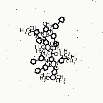 Cc1cc2c3c(c1)N(c1ccc(C(C)(C)C)cc1-c1ccccc1)c1sc4cc5c(cc4c1B3c1cc(-c3ccccc3)ccc1N2c1ccc(-c2ccccc2)cc1)C(C)(C)C(CC(C)(C)c1cc2c3c(c1)N(c1ccc(C(C)(C)C)cc1)c1sc4cc6c(cc4c1B3c1ccc(-c3ccccc3)cc1N2c1cccc(-c2ccccc2)c1)C(C)(C)CCC6(C)C)CC5(C)C